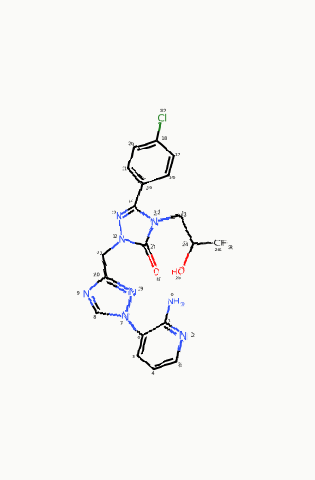 Nc1ncccc1-n1cnc(Cn2nc(-c3ccc(Cl)cc3)n(CC(O)C(F)(F)F)c2=O)n1